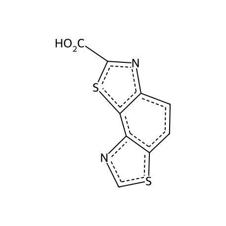 O=C(O)c1nc2ccc3scnc3c2s1